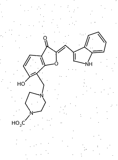 O=C1/C(=C/c2c[nH]c3ccccc23)Oc2c1ccc(O)c2CN1CCN(C(=O)O)CC1